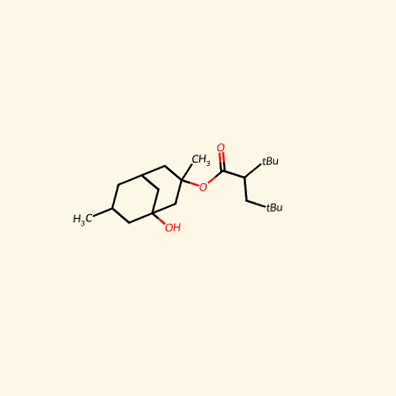 CC1CC2CC(O)(C1)CC(C)(OC(=O)C(CC(C)(C)C)C(C)(C)C)C2